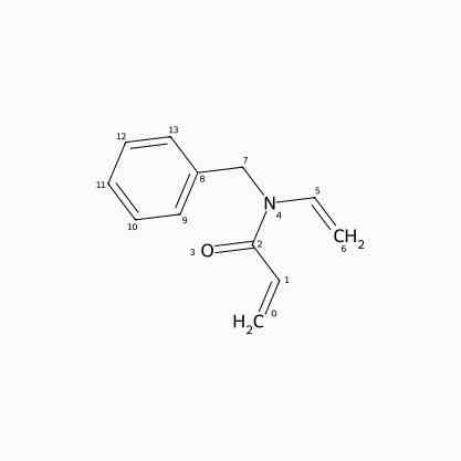 C=CC(=O)N(C=C)Cc1ccccc1